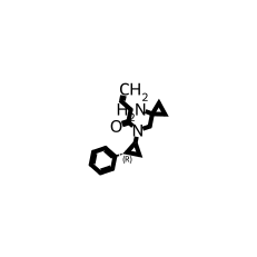 C=CCC(=O)N(CC1(N)CC1)C1C[C@@H]1c1ccccc1